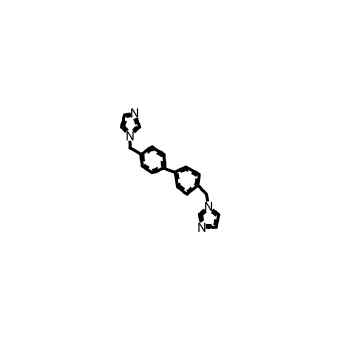 c1cn(Cc2ccc(-c3ccc(Cn4ccnc4)cc3)cc2)cn1